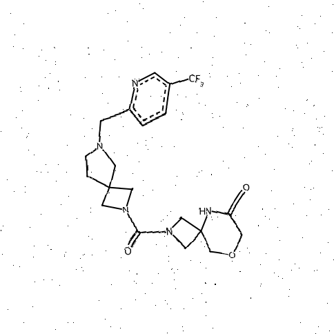 O=C1COCC2(CN(C(=O)N3CC4(CCN(Cc5ccc(C(F)(F)F)cn5)C4)C3)C2)N1